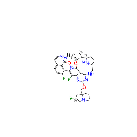 CC1C2CCC(CNc3nc(OCC45CCCN4C[C@H](F)C5)nc4c(F)c(-c5c(F)ccc6cc[nH]c(=O)c56)nc(c34)O[C@H]1C)N2